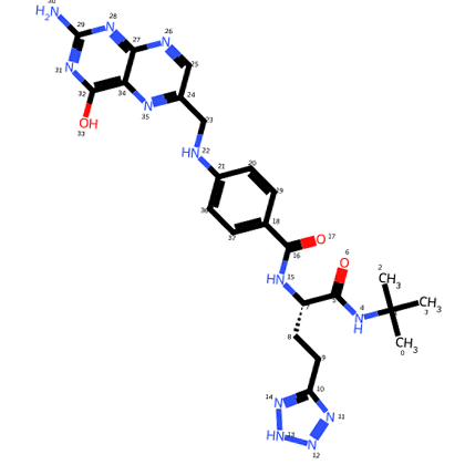 CC(C)(C)NC(=O)[C@H](CCc1nn[nH]n1)NC(=O)c1ccc(NCc2cnc3nc(N)nc(O)c3n2)cc1